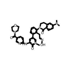 CN(C)c1ccc2c(c1)CCN(c1cccc(-c3cc(Nc4ccc(C(=O)N5CCOCC5)cn4)c(=O)n(C)c3)c1CC=NO)C2=O